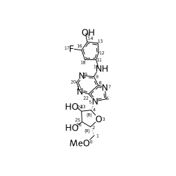 COC[C@H]1O[C@@H](n2cnc3c(Nc4ccc(O)c(F)c4)ncnc32)C(O)C1O